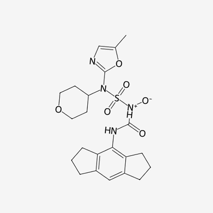 Cc1cnc(N(C2CCOCC2)S(=O)(=O)[NH+]([O-])C(=O)Nc2c3c(cc4c2CCC4)CCC3)o1